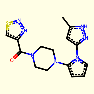 Cc1cc(-n2cccc2N2CCN(C(=O)c3csnn3)CC2)n[nH]1